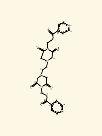 O=C(OCN1C(=O)CN(CCN2CC(=O)N(COC(=O)c3ccncc3)C(=O)C2)CC1=O)c1ccncc1